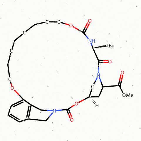 COC(=O)C1C[C@@H]2CN1C(=O)[C@H](C(C)(C)C)NC(=O)OCCCCCCCCOc1cccc3c1CN(C3)C(=O)O2